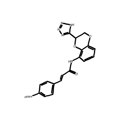 CCCCCCc1ccc(/C=C/C(=O)Nc2cccc3c2OC(c2nnn[nH]2)CO3)cc1